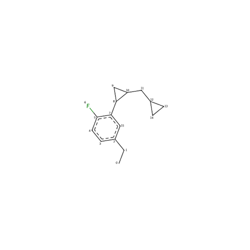 CCc1ccc(F)c(C2CC2CC2CC2)c1